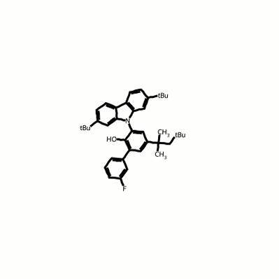 CC(C)(C)CC(C)(C)c1cc(-c2cccc(F)c2)c(O)c(-n2c3cc(C(C)(C)C)ccc3c3ccc(C(C)(C)C)cc32)c1